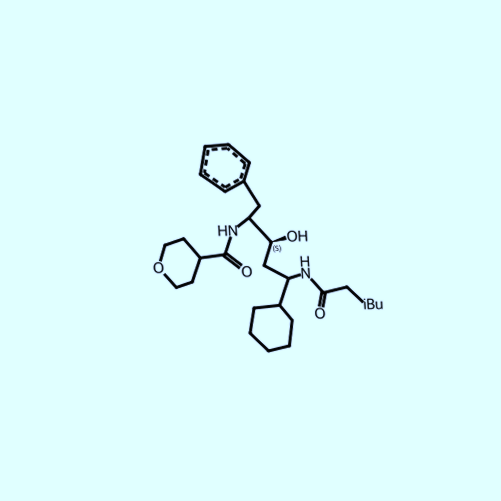 CCC(C)CC(=O)NC(C[C@H](O)C(Cc1ccccc1)NC(=O)C1CCOCC1)C1CCCCC1